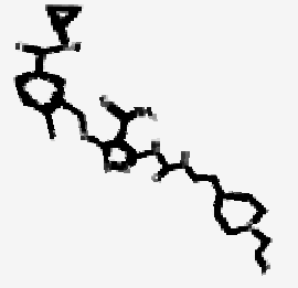 NC(=O)c1c(OCc2cc(C(=O)NC3CC3)ccc2F)nsc1NC(=O)NCCC1CCN(CCF)CC1